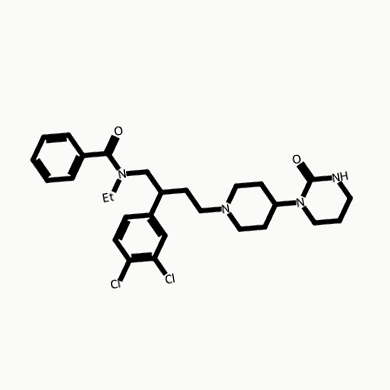 CCN(CC(CCN1CCC(N2CCCNC2=O)CC1)c1ccc(Cl)c(Cl)c1)C(=O)c1ccccc1